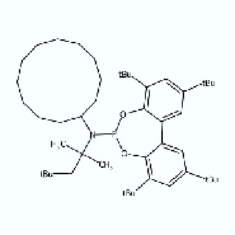 CC(C)(C)CC(C)(C)N(C1CCCCCCCCCCC1)p1oc2c(C(C)(C)C)cc(C(C)(C)C)cc2c2cc(C(C)(C)C)cc(C(C)(C)C)c2o1